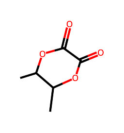 CC1OC(=O)C(=O)OC1C